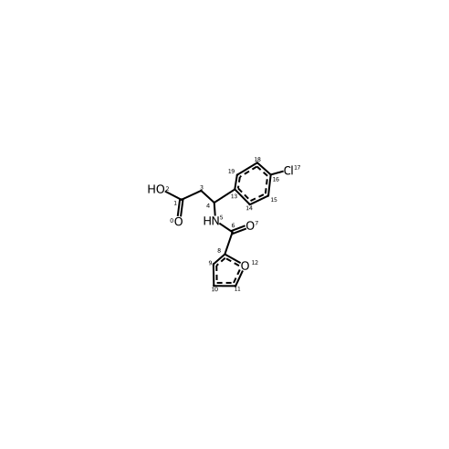 O=C(O)CC(NC(=O)c1ccco1)c1ccc(Cl)cc1